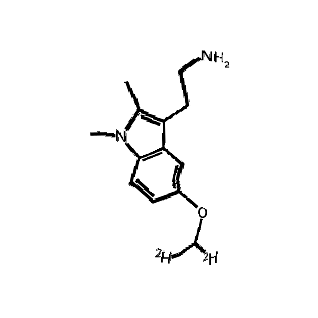 [2H]C([2H])Oc1ccc2c(c1)c(CCN)c(C)n2C